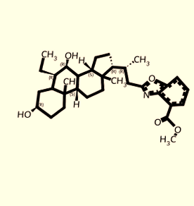 CC[C@@H]1C2C[C@H](O)CCC2(C)[C@H]2CCC3(C)[C@@H]([C@H](C)Cc4nc5c(C(=O)OC)cccc5o4)CC[C@H]3C2[C@@H]1O